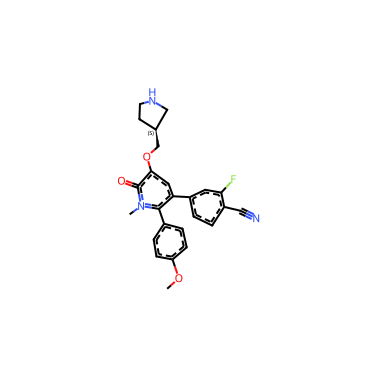 COc1ccc(-c2c(-c3ccc(C#N)c(F)c3)cc(OC[C@H]3CCNC3)c(=O)n2C)cc1